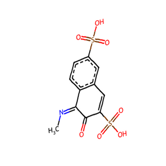 C/N=C1\C(=O)C(S(=O)(=O)O)=Cc2cc(S(=O)(=O)O)ccc21